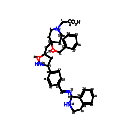 O=C(O)CN1CCC(CC2CC(c3ccc(C=NC4NCCc5ccccc54)cc3)NO2)(OCc2ccccc2)CC1